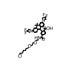 CC1(C)C2=CC(=[N+]3CC(F)(F)C3)C=CC2=C(c2cc(C(=O)NCCOCCOCCCCCCCl)ccc2C(=O)O)c2ccc(N3CC(F)(F)C3)cc21